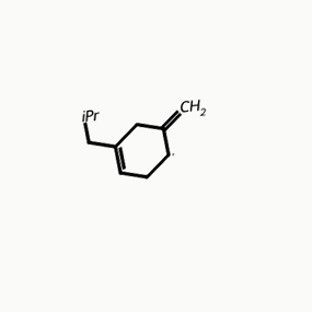 C=C1[CH]CC=C(CC(C)C)C1